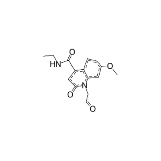 CCNC(=O)c1cc(=O)n(CC=O)c2cc(OC)ccc12